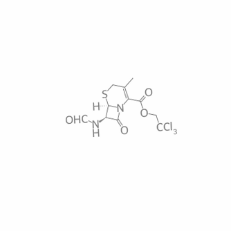 CC1=C(C(=O)OCC(Cl)(Cl)Cl)N2C(=O)[C@@H](NC=O)[C@H]2SC1